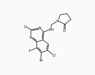 O=C1CCCN1CNc1nc(Cl)nc2c(F)c(Br)c(Cl)cc12